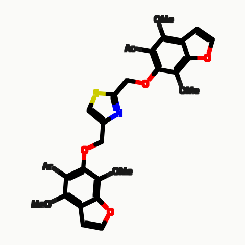 COc1c(C(C)=O)c(OCc2csc(COc3c(C(C)=O)c(OC)c4ccoc4c3OC)n2)c(OC)c2occc12